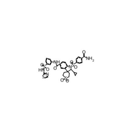 NC(=O)c1ccc(S(=O)(=O)N2c3ccc(C(=O)Nc4cccc(S(=O)(=O)Nc5nccs5)c4)cc3C3(CCS(=O)(=O)CC3)C2C2CC2)cc1